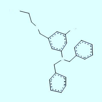 CCOC(=O)CCOCc1cc(OC)cc(N(Cc2ccccc2)Cc2ccccc2)c1